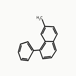 Cc1ccc2cccc(-c3ccccc3)c2c1